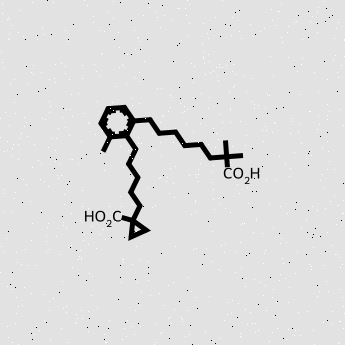 Cc1cccc(CCCCCCC(C)(C)C(=O)O)c1CCCCCC1(C(=O)O)CC1